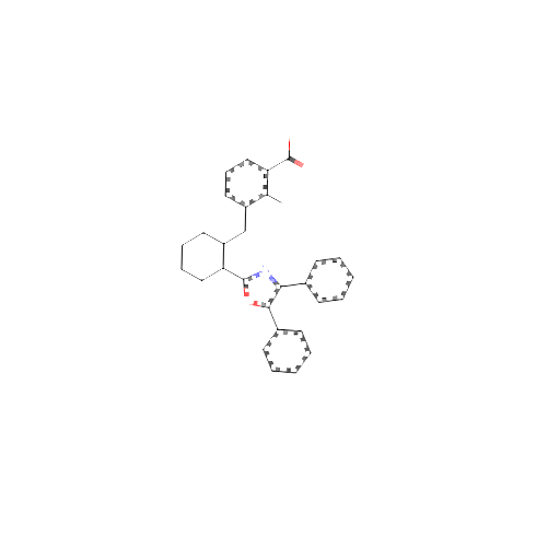 Cc1c(CC2CCCCC2c2nc(-c3ccccc3)c(-c3ccccc3)o2)cccc1C(=O)O